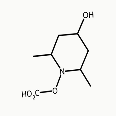 CC1CC(O)CC(C)N1OC(=O)O